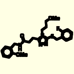 COCCCn1c(CCC(=O)NCc2ccccc2OC)nnc1SCc1ccccc1F